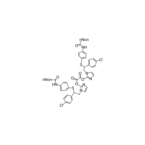 CCCCCCCCCC(=O)Nc1ccc(SC(Cn2ccnc2OC(=O)C(=O)Oc2nccn2CC(Sc2ccc(NC(=O)CCCCCCCCC)cc2)c2ccc(Cl)cc2)c2ccc(Cl)cc2)cc1